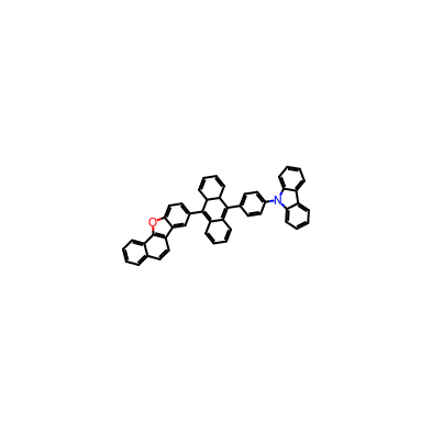 C1=CC2C(c3ccc(-n4c5ccccc5c5ccccc54)cc3)=c3ccccc3=C(c3ccc4oc5c6ccccc6ccc5c4c3)C2C=C1